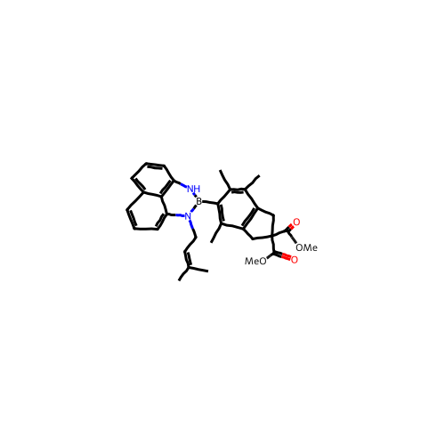 COC(=O)C1(C(=O)OC)Cc2c(C)c(C)c(B3Nc4cccc5cccc(c45)N3CC=C(C)C)c(C)c2C1